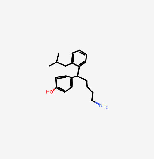 CC(C)Cc1ccccc1[C](CCCCN)c1ccc(O)cc1